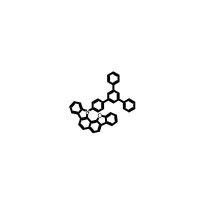 c1ccc(-c2cc(-c3ccccc3)cc(-c3ccc(-n4c5ccccc5c5ccc6ccc7c8ccccc8oc7c6c54)cc3)c2)cc1